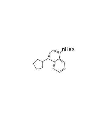 [CH2]CCCCCc1ccc(C2CCCC2)c2ccccc12